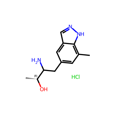 Cc1cc(CC(N)[C@@H](C)O)cc2cn[nH]c12.Cl